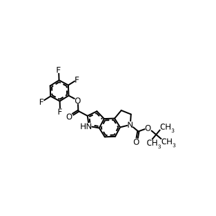 CC(C)(C)OC(=O)N1CCc2c1ccc1[nH]c(C(=O)Oc3c(F)c(F)cc(F)c3F)cc21